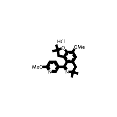 COc1ccc(C2=NC(C)(C)Cc3cc(OC)c4c(c32)CC(C)(C)O4)cn1.Cl